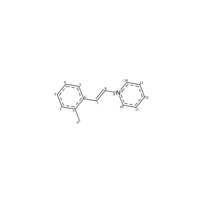 Cc1ccccc1/C=C/[n+]1ccccc1